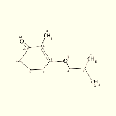 CC1=C(OCC(C)C)CCCC1=O